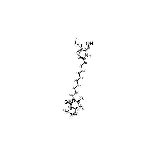 CCOC(=O)C(CO)NC(=O)CCCCCCCCCCn1c(=O)c2c(ncn2C)n(C)c1=O